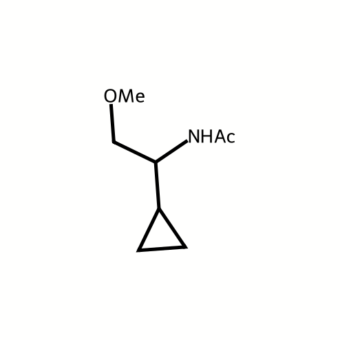 COCC(NC(C)=O)C1CC1